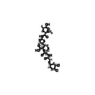 CC(SC(N)C(=O)Nc1ncc(C2=C(C(=O)O)N3C(=O)C(NC(=O)CSc4ccc(Cl)c(Cl)c4)C3SC2)s1)C(=O)O